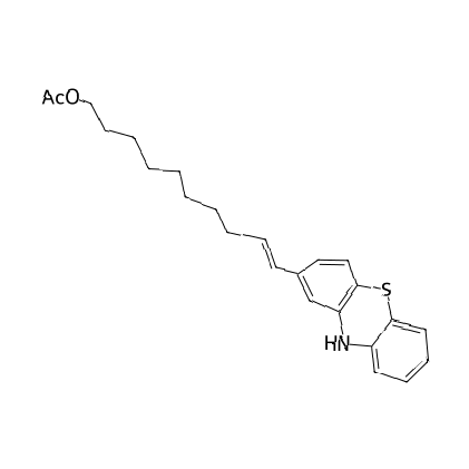 CC(=O)OCCCCCCCCC=Cc1ccc2c(c1)Nc1ccccc1S2